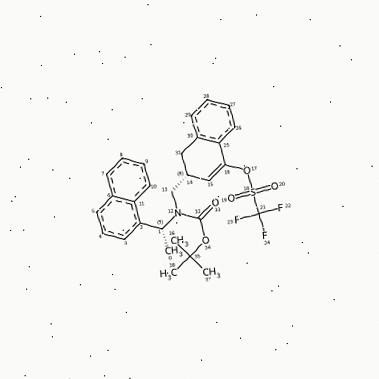 C[C@H](c1cccc2ccccc12)N(C[C@H]1C=C(OS(=O)(=O)C(F)(F)F)c2ccccc2C1)C(=O)OC(C)(C)C